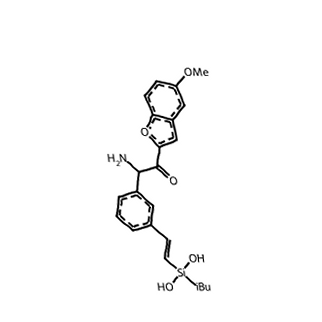 CCC(C)[Si](O)(O)C=Cc1cccc(C(N)C(=O)c2cc3cc(OC)ccc3o2)c1